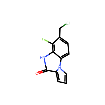 O=c1[nH]c2c(F)c(CCl)ccc2n2cccc12